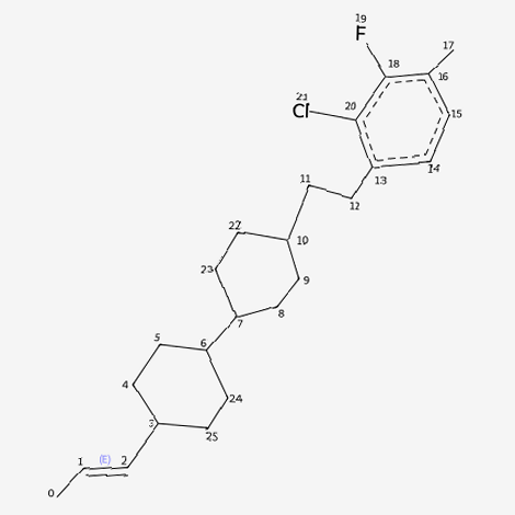 C/C=C/C1CCC(C2CCC(CCc3ccc(C)c(F)c3Cl)CC2)CC1